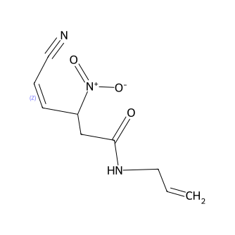 C=CCNC(=O)CC(/C=C\C#N)[N+](=O)[O-]